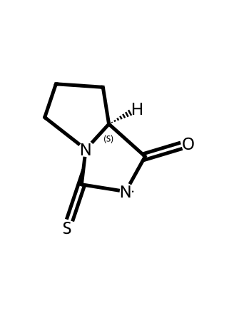 O=C1[N]C(=S)N2CCC[C@@H]12